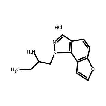 CCC(N)Cn1ncc2ccc3occc3c21.Cl